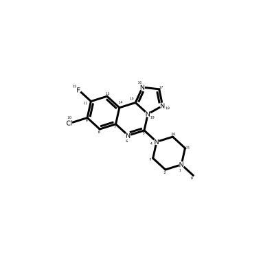 CN1CCN(c2nc3cc(Cl)c(F)cc3c3ncnn23)CC1